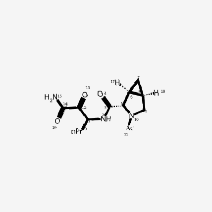 CCCC(NC(=O)[C@@H]1[C@H]2C[C@H]2CN1C(C)=O)C(=O)C(N)=O